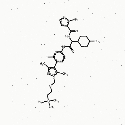 Cc1nn(COCC[Si](C)(C)C)c(C)c1-c1ccc(NC(=O)[C@@H](NC(=O)c2ccnn2C(C)C)C2CCC(C)CC2)nc1F